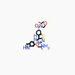 C[C@H](N)COc1cc2[nH]ncc2cc1Nc1ncnc2sc3c(c12)CC[C@H](C(=O)N1CCOC[C@@H]1C)C3